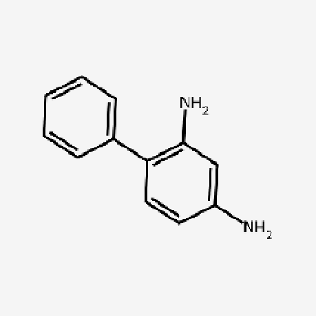 Nc1ccc(-c2ccccc2)c(N)c1